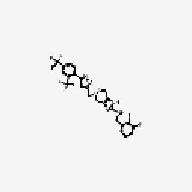 Fc1cccc(CNc2nc3c([nH]2)C=NN(Cc2cc(-c4ccc(C(F)(F)F)cc4C(F)(F)F)no2)C3)c1F